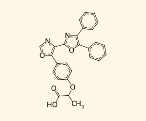 CC(Oc1ccc(-c2ocnc2-c2nc(-c3ccccc3)c(-c3ccccc3)o2)cc1)C(=O)O